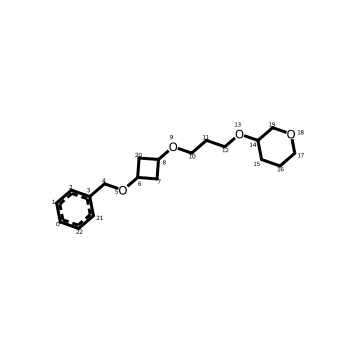 c1ccc(COC2CC(OCCCOC3CCCOC3)C2)cc1